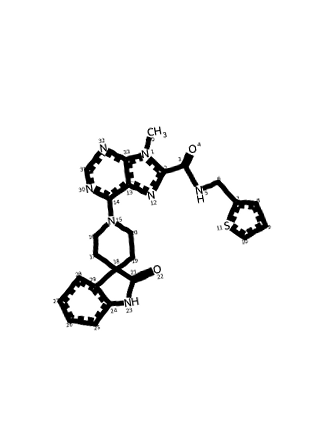 Cn1c(C(=O)NCc2cccs2)nc2c(N3CCC4(CC3)C(=O)Nc3ccccc34)ncnc21